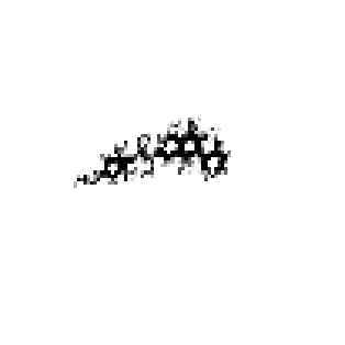 Cc1ccncc1-c1c(Cl)c(N)c2cnc(NC(=O)[C@@H]3[C@@H]4CC(O)C[C@@H]43)cc2c1Cl